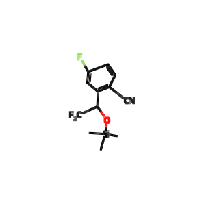 C[Si](C)(C)OC(c1cc(F)ccc1C#N)C(F)(F)F